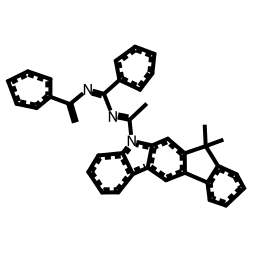 C=C(/N=C(\N=C(/C)n1c2ccccc2c2cc3c(cc21)C(C)(C)c1ccccc1-3)c1ccccc1)c1ccccc1